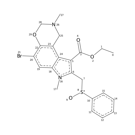 CCOC(=O)c1c(C[S+]([O-])c2ccccc2)n(C)c2cc(Br)c3c(c12)CN(C)CO3